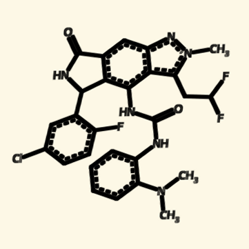 CN(C)c1ccccc1NC(=O)Nc1c2c(cc3nn(C)c(CC(F)F)c13)C(=O)NC2c1cc(Cl)ccc1F